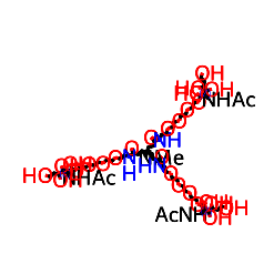 CNC(CCC(=O)NCCOCCOCCOCCOC(O)/C(NC(C)=O)=C(/O)C(O)CCO)(CCC(=O)NCCOCCOCCOCCOC(O)/C(NC(C)=O)=C(/O)C(O)CCO)CCC(=O)NCCOCCOCCOCCOC(O)/C(NC(C)=O)=C(\O)C(O)CCO